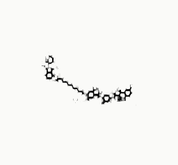 CCc1ccc2c(c1)c(=O)c(C(=O)Nc1ccc(Oc3ncnc4cc(OCCCCCCCCCC(=O)Nc5cccc6c5C(=O)N(C5CCC(=O)NC5=O)C6=O)c(OC)cc34)c(F)c1)c(C)n2C